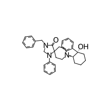 O=C1N(Cc2ccccc2)CN(c2ccccc2)C12CCN([C@@H]1CCCC[C@]1(O)c1ccccc1)CC2